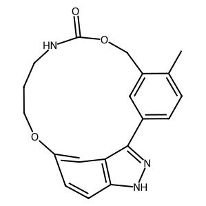 Cc1ccc2cc1COC(=O)NCCCOc1ccc3[nH]nc-2c3c1